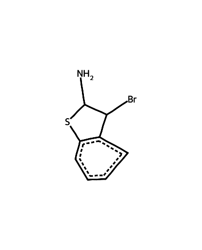 NC1Sc2ccccc2C1Br